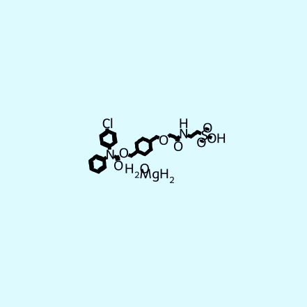 O.O=C(COCC1CCC(COC(=O)N(c2ccccc2)c2ccc(Cl)cc2)CC1)NCCS(=O)(=O)O.[MgH2]